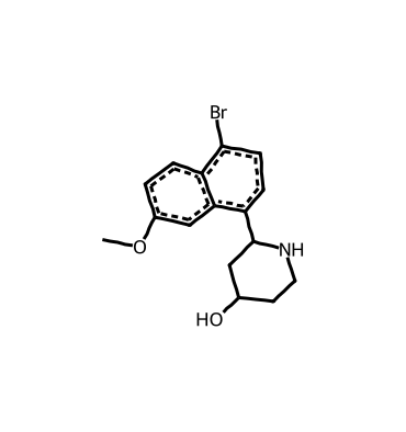 COc1ccc2c(Br)ccc(C3CC(O)CCN3)c2c1